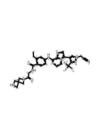 CCc1cc(Nc2nccn3c(-c4cn(CC#N)nc4C(F)(F)F)cnc23)ccc1C(=O)NCC(=O)N1CC2(CNC2)C1